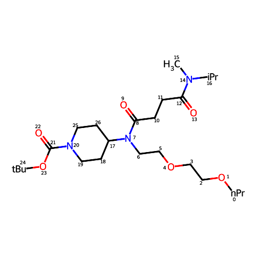 CCCOCCOCCN(C(=O)CCC(=O)N(C)C(C)C)C1CCN(C(=O)OC(C)(C)C)CC1